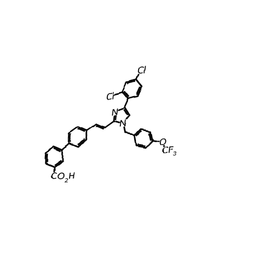 O=C(O)c1cccc(-c2ccc(C=Cc3nc(-c4ccc(Cl)cc4Cl)cn3Cc3ccc(OC(F)(F)F)cc3)cc2)c1